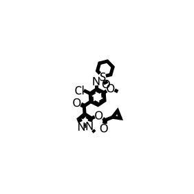 COc1ccc(C(=O)c2cnn(C)c2OC(=O)C2CC2)c(Cl)c1N=S1(=O)CCCCC1